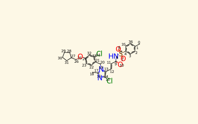 Cc1ccc(S(=O)(=O)NC(=O)/C=C/c2c(Cl)nc(C)n2Cc2ccc(OCC3CCCC3)cc2Cl)cc1